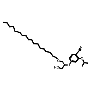 CCCCCCCCCCCCCCCCCCOC[C@H](CO)Oc1ccc(C#N)c(OC(C)C)c1